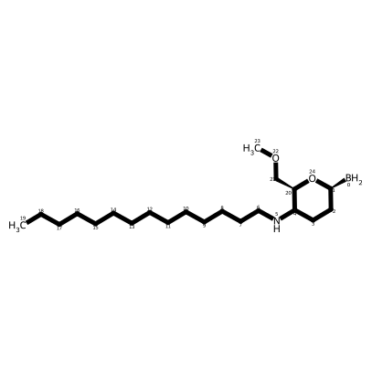 B[C@H]1CCC(NCCCCCCCCCCCCCC)[C@@H](COC)O1